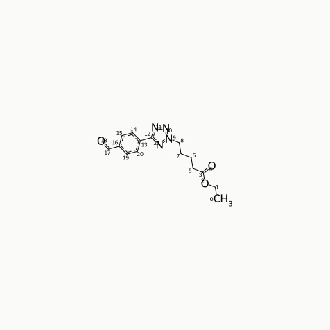 CCOC(=O)CCCCn1nnc(-c2ccc(C=O)cc2)n1